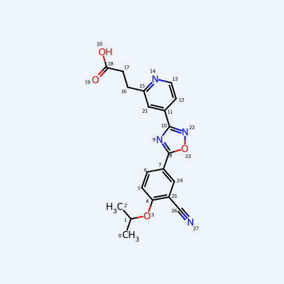 CC(C)Oc1ccc(-c2nc(-c3ccnc(CCC(=O)O)c3)no2)cc1C#N